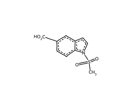 CS(=O)(=O)n1ccc2cc(C(=O)O)ccc21